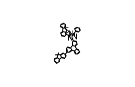 CC1(C)c2ccccc2-c2ccc(-c3ccc4c(c3)c3ccccc3c3ccc(-c5nc(-c6ccccc6)nc(-c6cccc7c6sc6ccccc67)n5)cc34)cc21